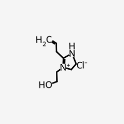 C=CCC1=[N+](CCO)CCN1.[Cl-]